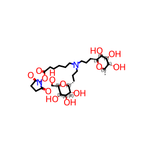 C[C@@H]1O[C@@H](CCCN(CCCCCC(=O)ON2C(=O)CCC2=O)CCC[C@H]2O[C@H](CO)[C@@H](O)[C@H](O)[C@H]2O)[C@@H](O)[C@H](O)[C@@H]1O